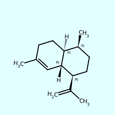 C=C(C)[C@@H]1CC[C@H](C)[C@@H]2CCC(C)=C[C@H]21